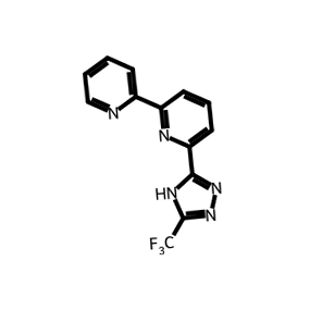 FC(F)(F)c1nnc(-c2cccc(-c3ccccn3)n2)[nH]1